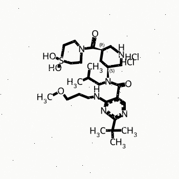 COCCCNc1nc(C(C)(C)C)ncc1C(=O)N(CC(C)C)[C@@H]1CNC[C@H](C(=O)N2CCS(O)(O)CC2)C1.Cl.Cl